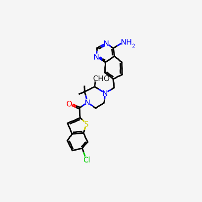 CC1(C)C(C=O)N(Cc2ccc3c(N)ncnc3c2)CCN1C(=O)c1cc2ccc(Cl)cc2s1